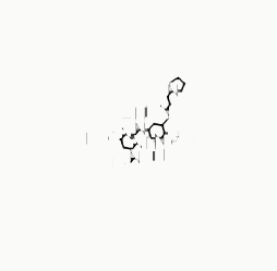 CNC1CC(C)NC(NC2CNC(OC)C(CNCCN3CCCC3)C2)N1